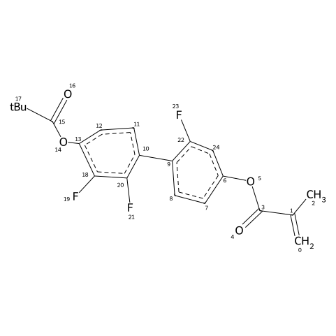 C=C(C)C(=O)Oc1ccc(-c2ccc(OC(=O)C(C)(C)C)c(F)c2F)c(F)c1